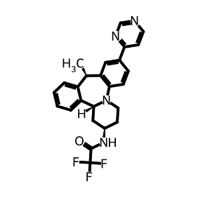 C[C@@H]1c2ccccc2[C@H]2C[C@H](NC(=O)C(F)(F)F)CCN2c2ccc(-c3ccncn3)cc21